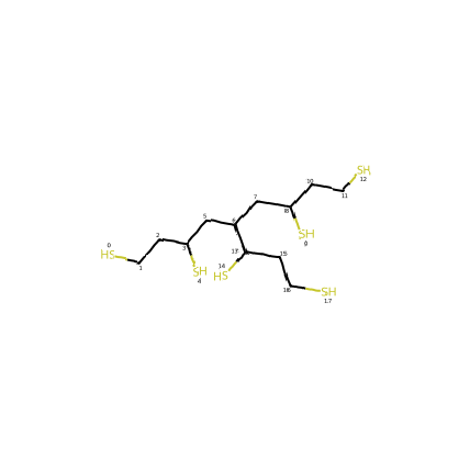 SCCC(S)CC(CC(S)CCS)C(S)CCS